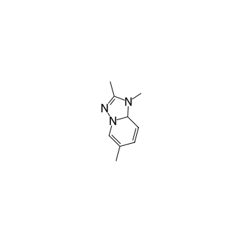 CC1=CN2N=C(C)N(C)C2C=C1